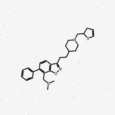 CN(C)Cc1c(-c2ccccc2)ccc2c(CCC3CCN(CC4CC=CS4)CC3)noc12